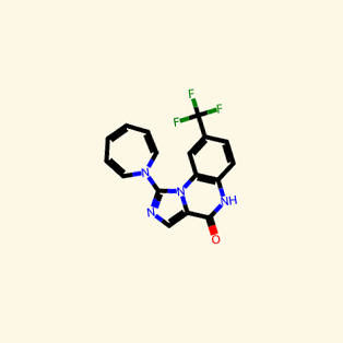 O=c1[nH]c2ccc(C(F)(F)F)cc2n2c(N3C=CC=CC=C3)ncc12